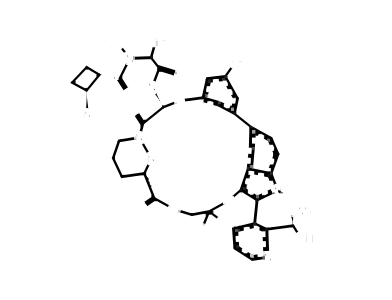 CCn1c(-c2cccnc2[C@H](C)OC)c2c3cc(ccc31)-c1cc(O)cc(c1)C[C@H](NC(=O)C(C(C)C)N(C)C(=O)[C@H]1CC[C@@H]1N)C(=O)N1CCC[C@H](N1)C(=O)OCC(C)(C)C2